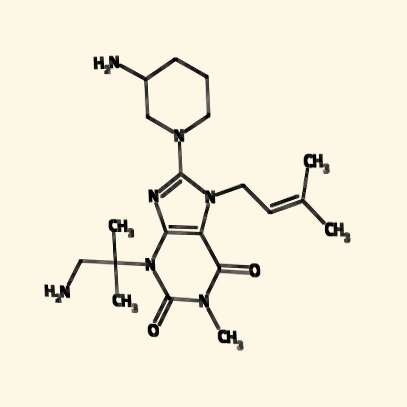 CC(C)=CCn1c(N2CCCC(N)C2)nc2c1c(=O)n(C)c(=O)n2C(C)(C)CN